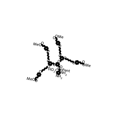 CCCCCC(OC(=O)c1cc(OCc2cc(OCCCCCCOc3ccc(/C=C/C(=O)OC)cc3)cc(OCCCCCCOc3ccc(/C=C/C(=O)OC)cc3)c2)cc(OCc2cc(OCCCCCCOc3ccc(/C=C/C(=O)OC)cc3)cc(OCCCCCCOc3ccc(/C=C/C(=O)OC)cc3)c2)c1)c1c(N)cc(N)cc1C(=O)O